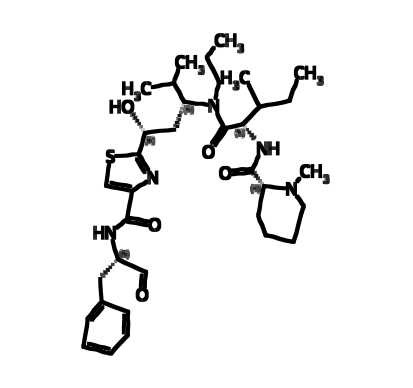 CCCN(C(=O)[C@@H](NC(=O)[C@H]1CCCCN1C)C(C)CC)[C@H](C[C@@H](O)c1nc(C(=O)N[C@H](C=O)Cc2ccccc2)cs1)C(C)C